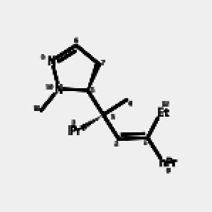 CCC/C(=C/[C@@](C)(C(C)C)[C@@H]1CC=NN1C)CC